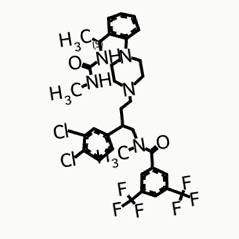 CNC(=O)N[C@@H](C)c1ccccc1N1CCN(CCC(CN(C)C(=O)c2cc(C(F)(F)F)cc(C(F)(F)F)c2)c2ccc(Cl)c(Cl)c2)CC1